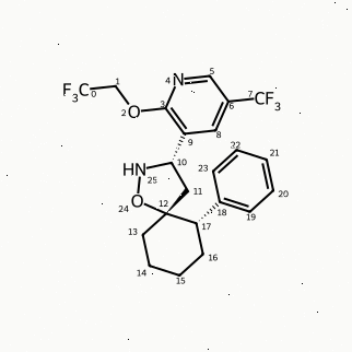 FC(F)(F)COc1ncc(C(F)(F)F)cc1[C@@H]1C[C@@]2(CCCC[C@H]2c2ccccc2)ON1